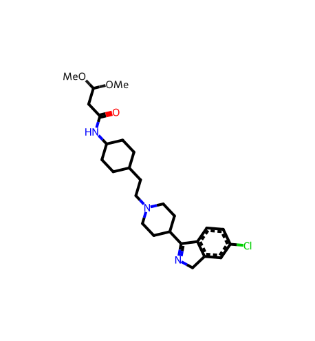 COC(CC(=O)NC1CCC(CCN2CCC(C3=NCc4cc(Cl)ccc43)CC2)CC1)OC